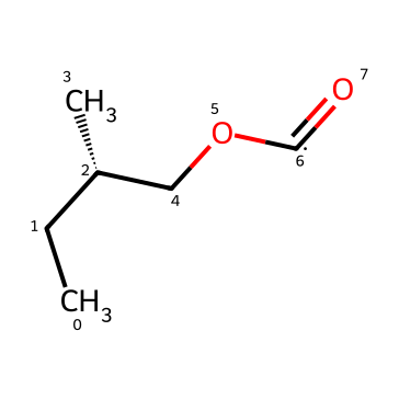 CC[C@H](C)CO[C]=O